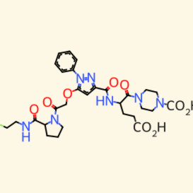 O=C(O)CCC(NC(=O)c1cc(OCC(=O)N2CCCC2C(=O)NCCF)n(-c2ccccc2)n1)C(=O)N1CCN(C(=O)O)CC1